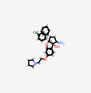 N[C@@H]1C[C@@H](c2ccccc2)[C@]2(c3ccc(Cl)cc3)Oc3cc(OCCN4CCCC4)ccc3[C@]12O